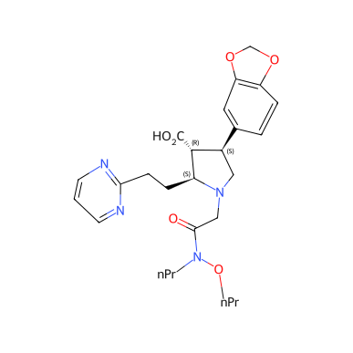 CCCON(CCC)C(=O)CN1C[C@H](c2ccc3c(c2)OCO3)[C@@H](C(=O)O)[C@@H]1CCc1ncccn1